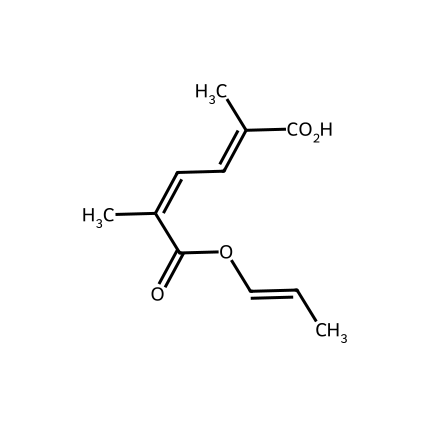 CC=COC(=O)C(C)=CC=C(C)C(=O)O